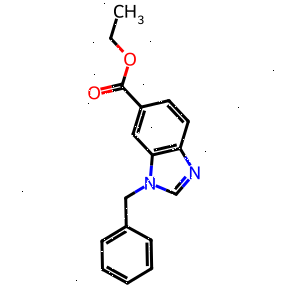 CCOC(=O)c1ccc2ncn(Cc3ccccc3)c2c1